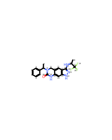 CC(c1ccccc1)N1Cc2cc3c(NC(C)C(F)(F)F)n[nH]c3cc2NC1=O